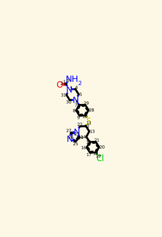 NC(=O)N1CCN(c2ccc(SC(CCc3ccc(Cl)cc3)Cn3ccnc3)cc2)CC1